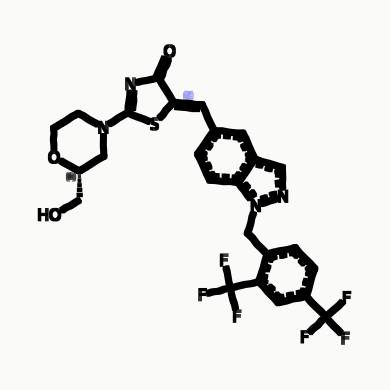 O=C1N=C(N2CCO[C@@H](CO)C2)S/C1=C\c1ccc2c(cnn2Cc2ccc(C(F)(F)F)cc2C(F)(F)F)c1